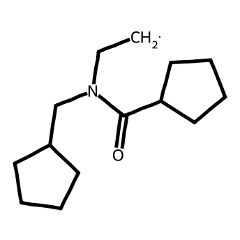 [CH2]CN(CC1CCCC1)C(=O)C1CCCC1